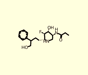 CCC(=O)N[C@H]1CN[C@H](CCC(CO)c2ccccc2)[C@@H](F)[C@@H]1O